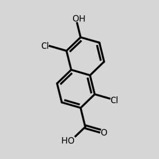 O=C(O)c1ccc2c(Cl)c(O)ccc2c1Cl